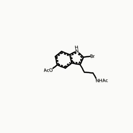 CC(=O)NCCc1c(Br)[nH]c2ccc(OC(C)=O)cc12